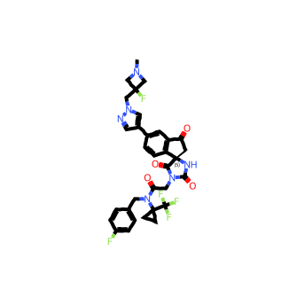 CN1CC(F)(Cn2cc(-c3ccc4c(c3)C(=O)C[C@]43NC(=O)N(CC(=O)N(Cc4ccc(F)cc4)C4(C(F)(F)F)CC4)C3=O)cn2)C1